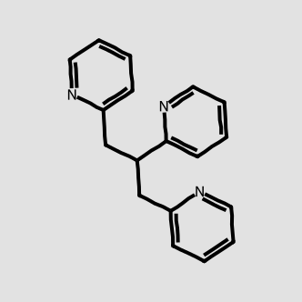 c1ccc(CC(Cc2ccccn2)c2ccccn2)nc1